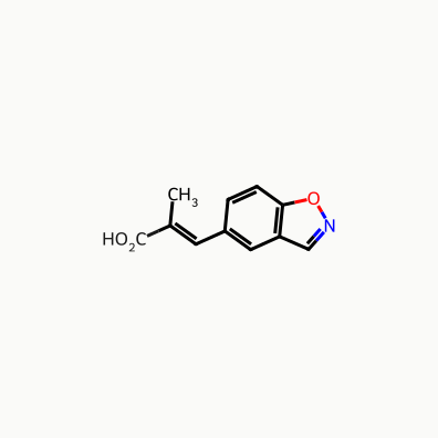 CC(=Cc1ccc2oncc2c1)C(=O)O